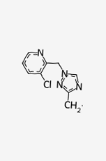 [CH2]c1ncn(Cc2ncccc2Cl)n1